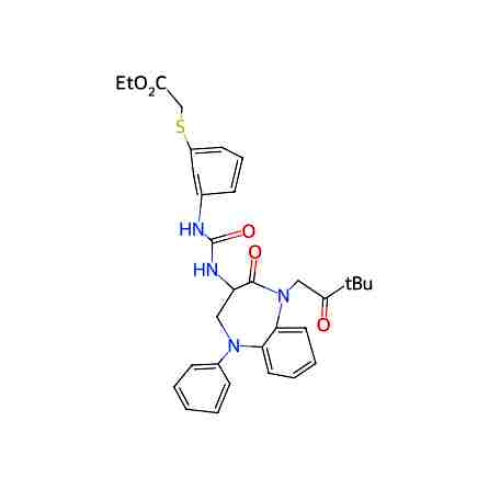 CCOC(=O)CSc1cccc(NC(=O)NC2CN(c3ccccc3)c3ccccc3N(CC(=O)C(C)(C)C)C2=O)c1